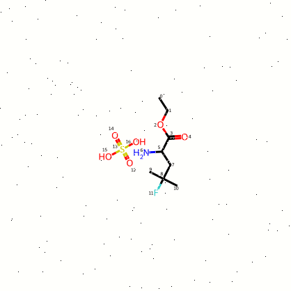 CCOC(=O)C(N)CC(C)(C)F.O=S(=O)(O)O